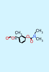 CCN(C)C(=O)Oc1cccc([C@@H](C)OC=O)c1